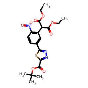 CCOC(=O)C(C(=O)OCC)c1cc(-c2nnc(C(=O)OC(C)(C)C)s2)ccc1[N+](=O)[O-]